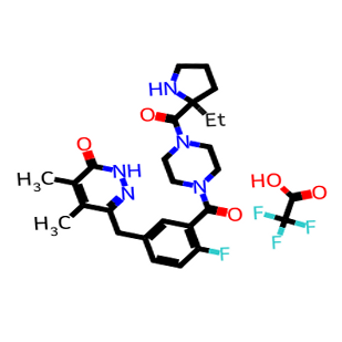 CCC1(C(=O)N2CCN(C(=O)c3cc(Cc4n[nH]c(=O)c(C)c4C)ccc3F)CC2)CCCN1.O=C(O)C(F)(F)F